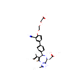 COC(=O)C[C@H]1c2nnc(C)n2-c2sc(C)c(C)c2C(c2ccc(-c3ccc(OCCOCC(=O)O)c(C#N)c3)cc2)N1C